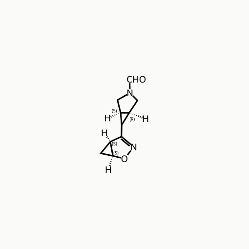 O=CN1C[C@@H]2C(C3=NO[C@H]4C[C@@H]34)[C@@H]2C1